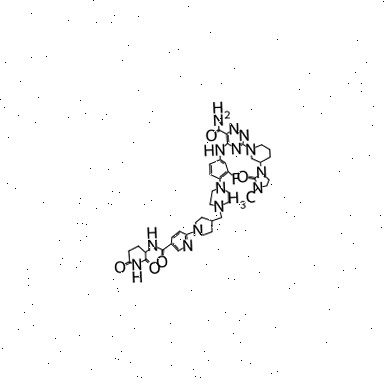 CN1CCN(C2CCCN(c3nnc(C(N)=O)c(Nc4ccc(N5CCN(CC6CCN(c7ccc(C(=O)NC8CCC(=O)NC8=O)cn7)CC6)CC5)c(F)c4)n3)C2)C1=O